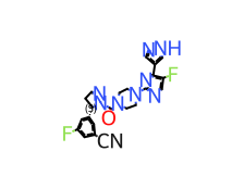 N#Cc1cc(F)cc([C@@H]2CC=NN2C(=O)N2CCN(c3ncc(F)c(-c4cn[nH]c4)n3)CC2)c1